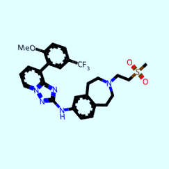 COc1ccc(C(F)(F)F)cc1-c1cccn2nc(Nc3ccc4c(c3)CCN(CCS(C)(=O)=O)CC4)nc12